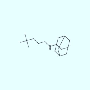 CC(C)(C)CCCNC12CC3CC(CC(C3)C1)C2